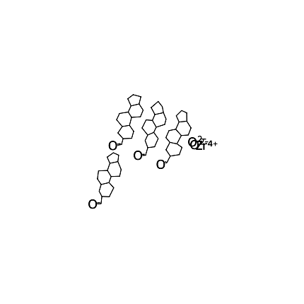 O=CC1CCC2C(CCC3C4CCCC4CCC23)C1.O=CC1CCC2C(CCC3C4CCCC4CCC23)C1.O=CC1CCC2C(CCC3C4CCCC4CCC23)C1.O=CC1CCC2C(CCC3C4CCCC4CCC23)C1.[O-2].[O-2].[Zr+4]